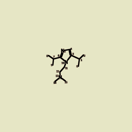 CC(C)c1cnc(C(C)C)n1CCN(C)C